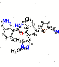 Cc1ccc(CN)cc1C(=O)NC(C)c1cc(-c2cnn(C)c2)cc(-c2ccc(C#N)s2)c1